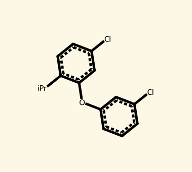 CC(C)c1ccc(Cl)cc1Oc1cccc(Cl)c1